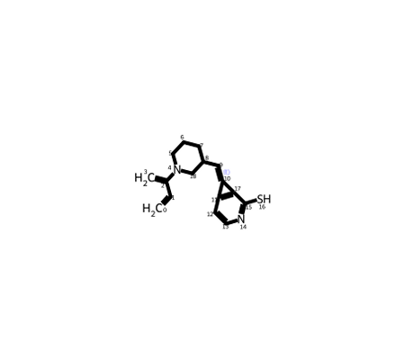 C=CC(=C)N1CCCC(/C=C2\c3ccnc(S)c32)C1